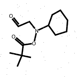 CC(C)(C)C(=O)ON(CC=O)C1CCCCC1